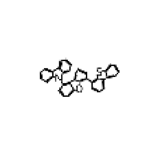 c1cc(-n2c3ccccc3c3ccccc32)c2c(c1)oc1c(-c3cccc4c3sc3ccccc34)cccc12